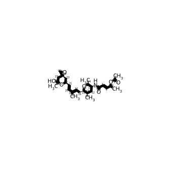 CC(=O)OC(C)C=CC(=O)N[C@@H]1C[C@H](C)[C@H](CC=C(C)C=C[C@@H]2C[C@]3(CO3)C[C@@](C)(O)O2)O[C@@H]1C